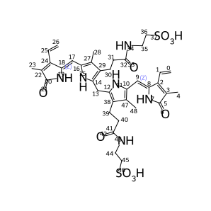 C=CC1=C(C)C(=O)N/C1=C\c1[nH]c(Cc2[nH]c(/C=C3\NC(=O)C(C)=C3C=C)c(C)c2CCC(=O)NCCS(=O)(=O)O)c(CCC(=O)NCCS(=O)(=O)O)c1C